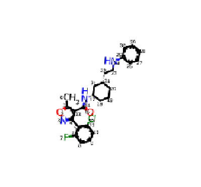 Cc1onc(-c2c(F)cccc2Cl)c1C(=O)N[C@H]1CCC[C@@H](CCNc2ccccc2)C1